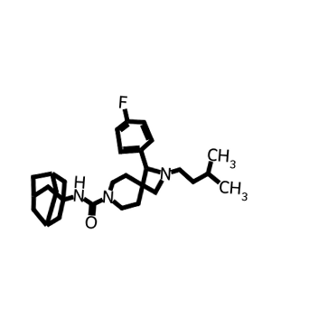 CC(C)CCN1CC2(CCN(C(=O)NC34CC5CC(CC(C5)C3)C4)CC2)C1c1ccc(F)cc1